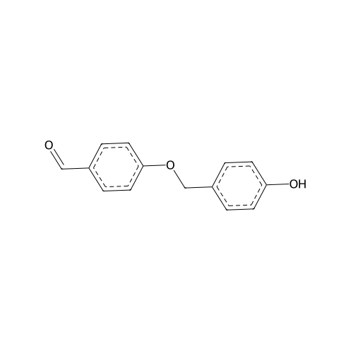 O=Cc1ccc(OCc2ccc(O)cc2)cc1